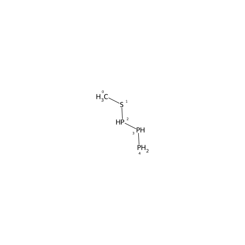 CSPPP